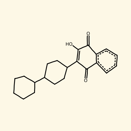 O=C1C(O)=C(C2CCC(C3CCCCC3)CC2)C(=O)c2ccccc21